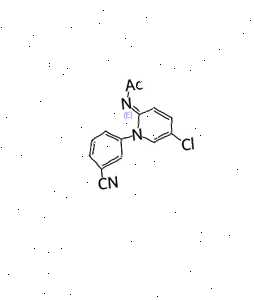 CC(=O)/N=c1\ccc(Cl)cn1-c1cccc(C#N)c1